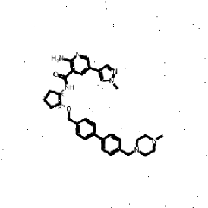 CN1CCN(Cc2ccc(-c3ccc(CO[C@@H]4CCC[C@@H]4NC(=O)c4cc(-c5cnn(C)c5)cnc4N)cc3)cc2)CC1